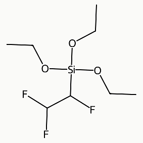 CCO[Si](OCC)(OCC)C(F)C(F)F